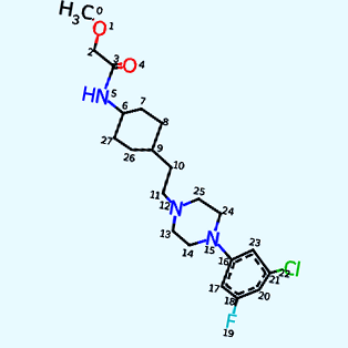 COCC(=O)NC1CCC(CCN2CCN(c3cc(F)cc(Cl)c3)CC2)CC1